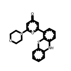 O=c1cc(-c2cccc3c2Sc2ccccc2N3)oc(N2CCOCC2)c1